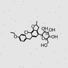 CCOc1ccc(Cc2cc([C@@H]3O[C@H](CO)[C@@H](O)[C@H](O)[C@H]3O)c3c(c2Cl)OC(C)C3)cc1